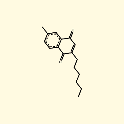 CCCCCCC1=CC(=O)c2cc(C)ccc2C1=O